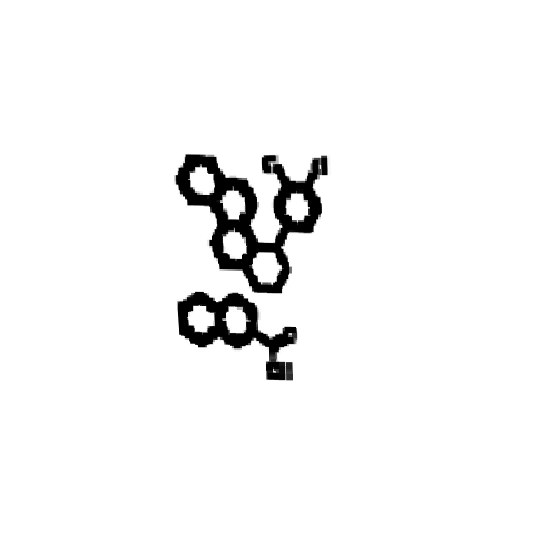 Clc1ccc(C2CCCc3ccc4c(ccc5ccccc54)c32)cc1Cl.O=C(O)c1ccc2ccccc2c1